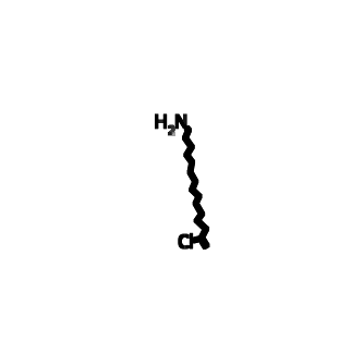 C=C(Cl)CCCCCCCCCCCCCN